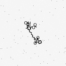 CC(=O)OCC1=CC(CCCCCCCN2C(=O)c3ccccc3C2=O)=CC(C)(COC(C)=O)N1